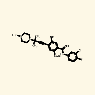 CNc1cc(C#CC(C)(C)N2CCN(C)CC2)c([N+](=O)[O-])cc1C(=N)Nc1ccc(F)c(Cl)c1